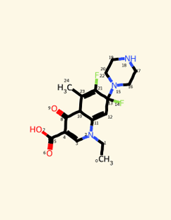 CCN1C=C(C(=O)O)C(=O)C2C1=CC(F)(N1CCNCC1)C(F)=C2C